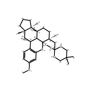 COc1ccc2c(c1)S[C@]13CCC4(C[C@@H]1CC[C@@H]1C3[C@@H]2C[C@]2(C)CCC[C@@H]12)OCC(C)(C)CO4